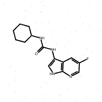 O=C(Nc1c[nH]c2ncc(F)cc12)NC1CCCCC1